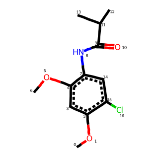 COc1cc(OC)c(NC(=O)C(C)C)cc1Cl